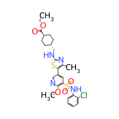 CCOC(=O)[C@H]1CC[C@H](CNc2nc(C)c(-c3cnc(OC)c(S(=O)(=O)Nc4ccccc4Cl)c3)s2)CC1